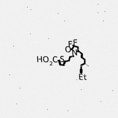 CCC#CC[C@@H](C)C/C=C/C1CC(F)(F)C(=O)N1CCCc1ccc(C(=O)O)s1